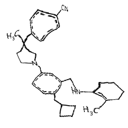 CC1=C(NCc2cc(N3CCC(C)(c4ccc(C#N)cc4)C3)ccc2C2CCC2)CCCC1